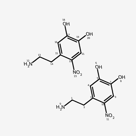 NCCc1cc(O)c(O)cc1[N+](=O)[O-].NCCc1cc(O)c(O)cc1[N+](=O)[O-]